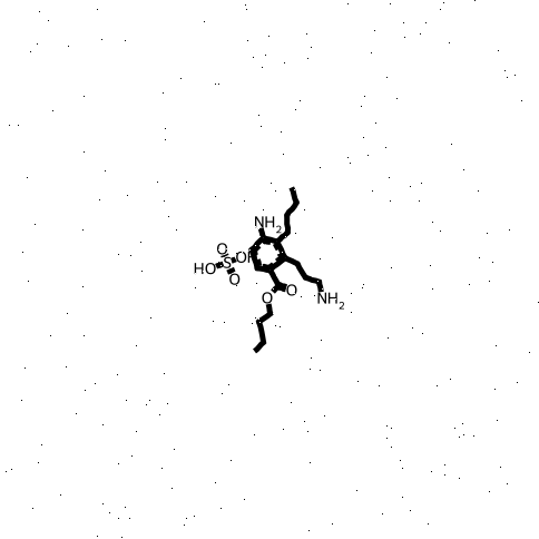 CCCCOC(=O)c1ccc(N)c(CCCC)c1CCCN.O=S(=O)(O)O